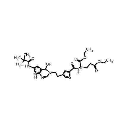 CCOC(=O)CC[C@@H](NC(=O)c1cc(CCN2C=Nc3[nH]c(NC(=O)C(C)(C)C)cc3C2O)cs1)C(=O)OCC